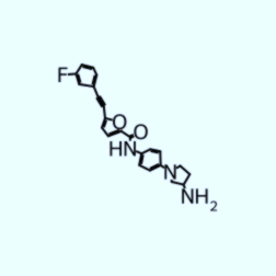 NC1CCN(c2ccc(NC(=O)c3ccc(C#Cc4cccc(F)c4)o3)cc2)C1